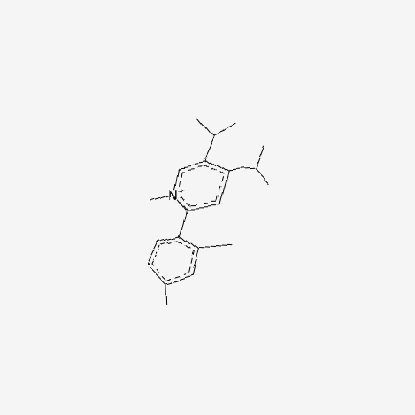 Cc1ccc(-c2cc(C(C)C)c(C(C)C)c[n+]2C)c(C)c1